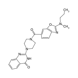 CCCN(C)c1nc2ccc(C(=O)N3CCN(c4nc5ccccc5c(=O)[nH]4)CC3)cc2o1